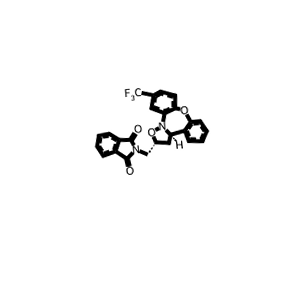 O=C1c2ccccc2C(=O)N1C[C@H]1C[C@@H]2c3ccccc3Oc3ccc(C(F)(F)F)cc3N2O1